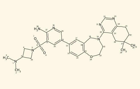 CN(C)C1CN(S(=O)(=O)c2cc(-c3ccc4c(c3)CN(c3ncnc5c3CC(C)(C)CC5)CCO4)cnc2N)C1